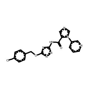 O=C(Nc1nnc(OCc2ccc(Cl)cc2)s1)c1cncn1-c1cccnc1